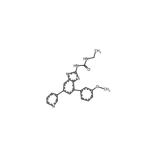 CCNC(=O)Nc1nc2cc(-c3cccnc3)cc(-c3cccc(OC)c3)c2s1